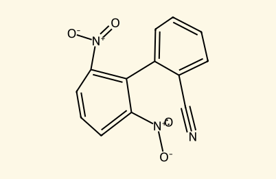 N#Cc1ccccc1-c1c([N+](=O)[O-])cccc1[N+](=O)[O-]